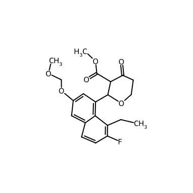 CCc1c(F)ccc2cc(OCOC)cc(C3OCCC(=O)C3C(=O)OC)c12